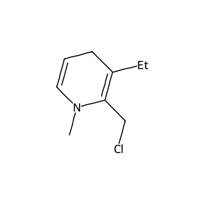 CCC1=C(CCl)N(C)C=CC1